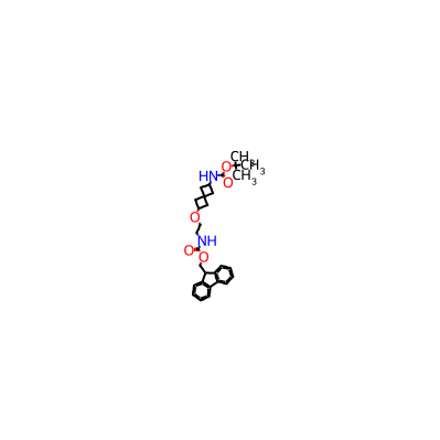 CC(C)(C)OC(=O)NC1CC2(C1)CC(OCCNC(=O)OCC1c3ccccc3-c3ccccc31)C2